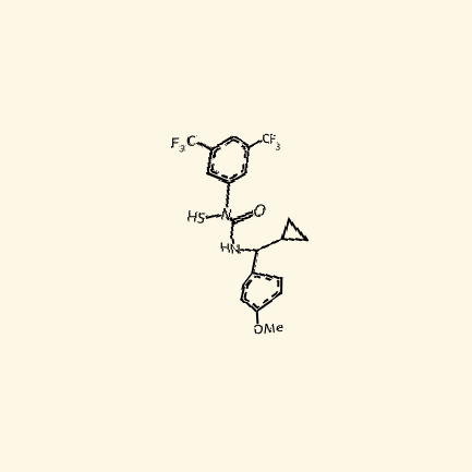 COc1ccc(C(NC(=O)N(S)c2cc(C(F)(F)F)cc(C(F)(F)F)c2)C2CC2)cc1